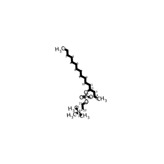 CCCCCCCCCCCCC(CCC)OP(=O)([O-])OCC[N+](C)(C)C